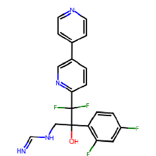 N=CNCC(O)(c1ccc(F)cc1F)C(F)(F)c1ccc(-c2ccncc2)cn1